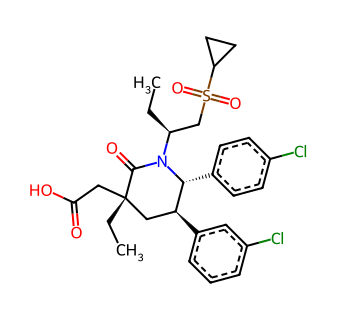 CC[C@@H](CS(=O)(=O)C1CC1)N1C(=O)[C@@](CC)(CC(=O)O)C[C@H](c2cccc(Cl)c2)[C@H]1c1ccc(Cl)cc1